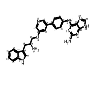 Nc1nc(Nc2ccc(-c3cncc(OC[C@@H](N)Cc4c[nH]c5ccccc45)c3)cc2)c2nc[nH]c2n1